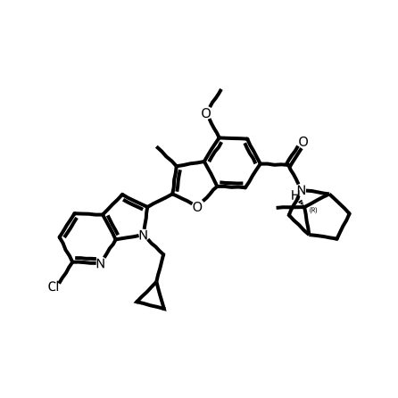 COc1cc(C(=O)N2CC3CCC2[C@@H]3C)cc2oc(-c3cc4ccc(Cl)nc4n3CC3CC3)c(C)c12